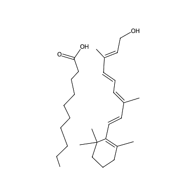 CC(C=CC1=C(C)CCCC1(C)C)=CC=CC(C)=CCO.CCCCCCCCCC(=O)O